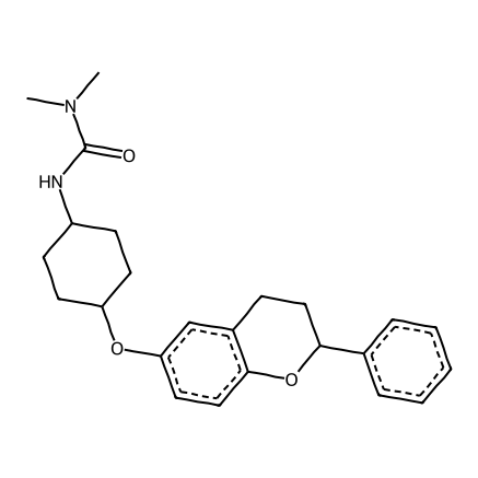 CN(C)C(=O)NC1CCC(Oc2ccc3c(c2)CCC(c2ccccc2)O3)CC1